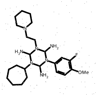 COc1ccc(N2C(N)N(CCN3CCCCC3)C(N)N(C3CCCCCC3)C2N)cc1F